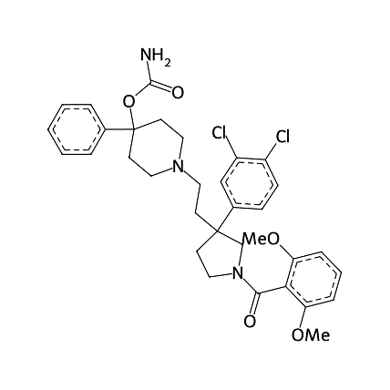 COc1cccc(OC)c1C(=O)N1CCC(CCN2CCC(OC(N)=O)(c3ccccc3)CC2)(c2ccc(Cl)c(Cl)c2)C1